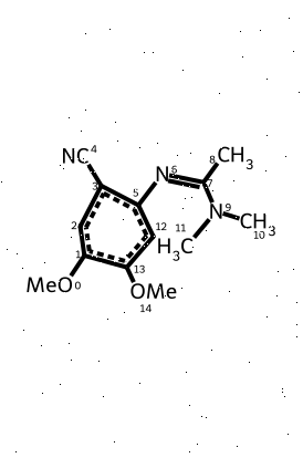 COc1cc(C#N)c(N=C(C)N(C)C)cc1OC